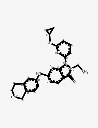 CCn1c(=O)c2cnc(Nc3ccc4c(c3)CCNC4)nc2n1-c1cccc(OC2CC2)n1